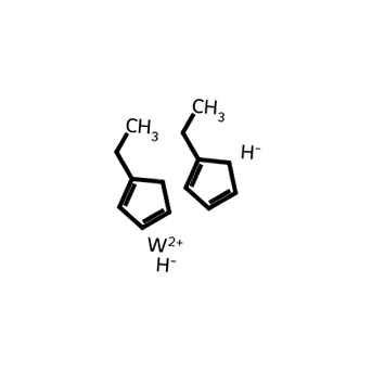 CCC1=CC=CC1.CCC1=CC=CC1.[H-].[H-].[W+2]